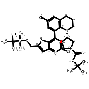 Cc1cc(-c2cc(Cl)cc3c2N([C@H]2CCN(C(=O)OC(C)(C)C)C2)CCC3)c2sc(CO[Si](C)(C)C(C)(C)C)cc2n1